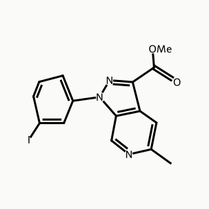 COC(=O)c1nn(-c2cccc(I)c2)c2cnc(C)cc12